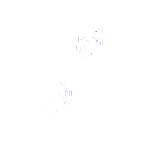 N=C(N)Nc1nc(CSCCC(=O)NS(=O)(=O)c2ccccc2)cs1